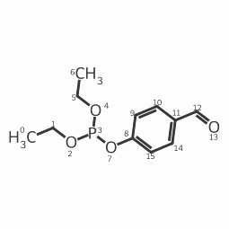 CCOP(OCC)Oc1ccc(C=O)cc1